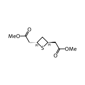 COC(=O)C[C@@H]1C[C@@H](CC(=O)OC)S1